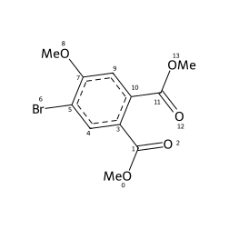 COC(=O)c1cc(Br)c(OC)cc1C(=O)OC